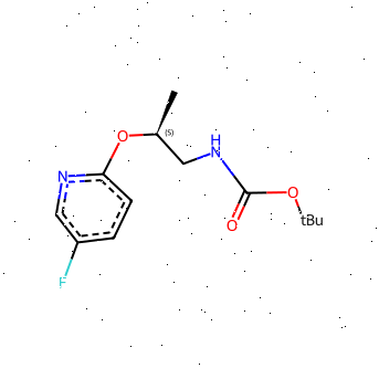 C[C@@H](CNC(=O)OC(C)(C)C)Oc1ccc(F)cn1